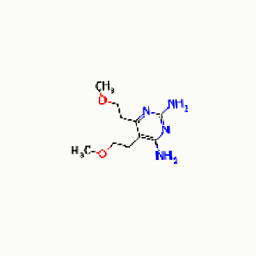 COCCc1nc(N)nc(N)c1CCOC